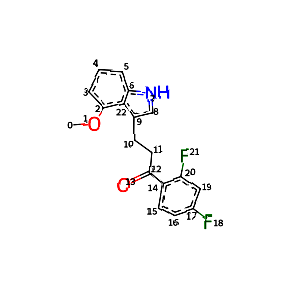 COc1cccc2[nH]cc(CCC(=O)c3ccc(F)cc3F)c12